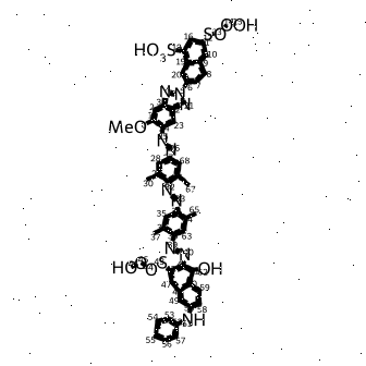 COc1cc2nn(-c3ccc4cc(SOOO)cc(S(=O)(=O)O)c4c3)nc2cc1N=Nc1cc(C)c(N=Nc2cc(C)c(N=Nc3c(SOOO)cc4cc(Nc5ccccc5)ccc4c3O)cc2C)c(C)c1